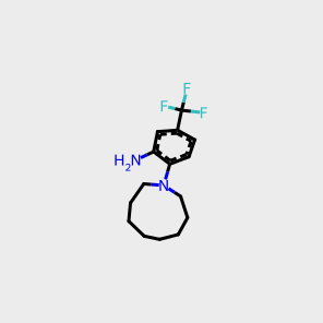 Nc1cc(C(F)(F)F)ccc1N1CCCCCCCC1